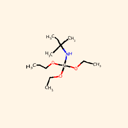 CCO[Si](NC(C)(C)C)(OCC)OCC